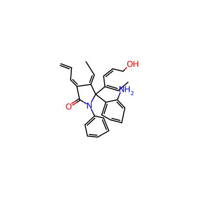 C=C/C=C1/C(=O)N(c2ccccc2)C(C(/C=C\CO)=C/C)(c2ccccc2N)/C1=C/C